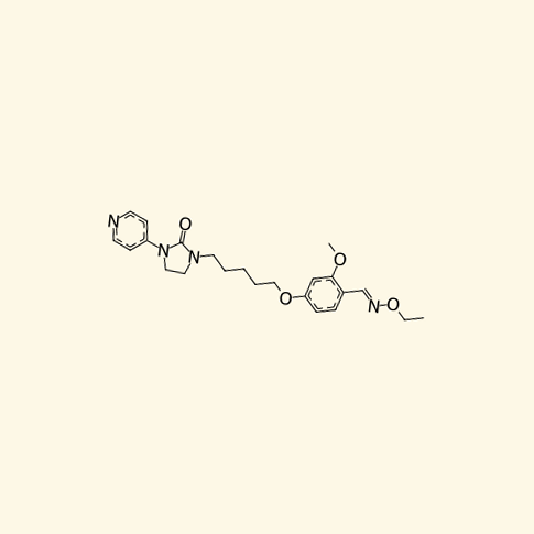 CCON=Cc1ccc(OCCCCCN2CCN(c3ccncc3)C2=O)cc1OC